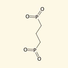 O=P(=O)CCCP(=O)=O